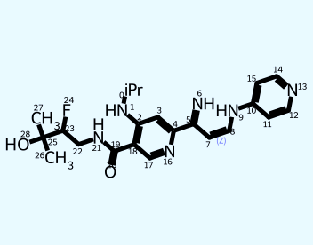 CC(C)Nc1cc(C(=N)/C=C\Nc2ccncc2)ncc1C(=O)NCC(F)C(C)(C)O